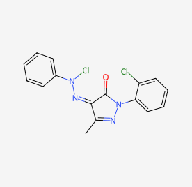 CC1=NN(c2ccccc2Cl)C(=O)C1=NN(Cl)c1ccccc1